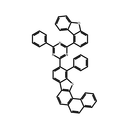 c1ccc(-c2nc(-c3ccc4c(sc5c4ccc4ccc6ccccc6c45)c3-c3ccccc3)nc(-c3cccc4oc5ccccc5c34)n2)cc1